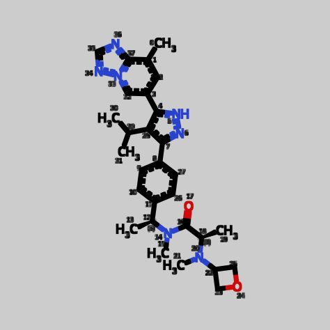 Cc1cc(-c2[nH]nc(-c3ccc([C@H](C)N(C)C(=O)[C@@H](C)N(C)C4COC4)cc3)c2C(C)C)cn2ncnc12